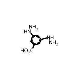 NNc1cc(NN)cc(C(=O)O)c1